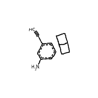 C#Cc1cccc(N)c1.C1CC2CCC12